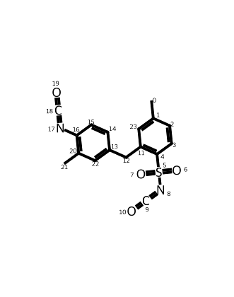 Cc1ccc(S(=O)(=O)N=C=O)c(Cc2ccc(N=C=O)c(C)c2)c1